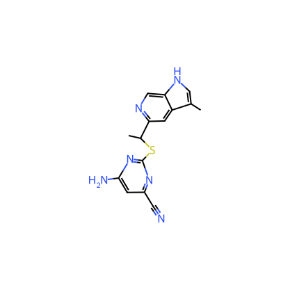 Cc1c[nH]c2cnc(C(C)Sc3nc(N)cc(C#N)n3)cc12